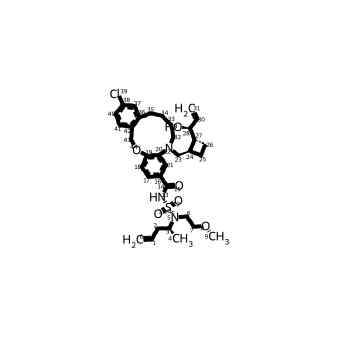 C=CC[C@H](C)N(CCOC)S(=O)(=O)NC(=O)c1ccc2c(c1)N(C[C@@H]1CC[C@H]1[C@@H](O)C=C)CCCCc1cc(Cl)ccc1CO2